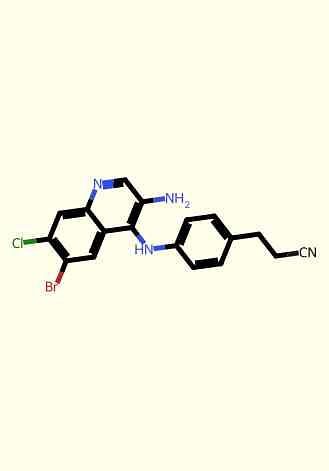 N#CCCc1ccc(Nc2c(N)cnc3cc(Cl)c(Br)cc23)cc1